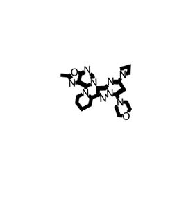 Cc1nc2c(N3CCCCC3c3cc4nc(N5CCC5)cc(N5CCOCC5)n4n3)ncnc2o1